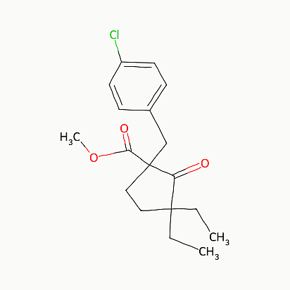 CCC1(CC)CCC(Cc2ccc(Cl)cc2)(C(=O)OC)C1=O